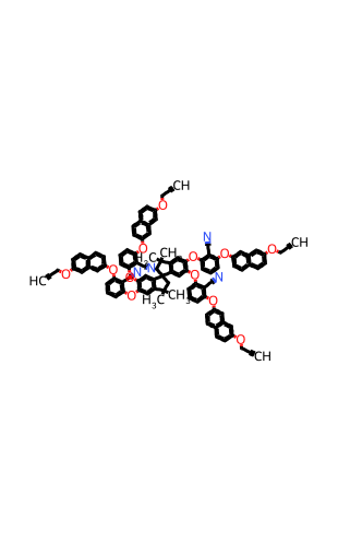 C#CCOc1ccc2ccc(Oc3cccc(Oc4cc5c(cc4Oc4cccc(Oc6ccc7ccc(OCC#C)cc7c6)c4C#N)C4(CC5(C)C)CC(C)(C)c5cc(Oc6cccc(Oc7ccc8ccc(OCC#C)cc8c7)c6C#N)c(Oc6cccc(Oc7ccc8ccc(OCC#C)cc8c7)c6C#N)cc54)c3C#N)cc2c1